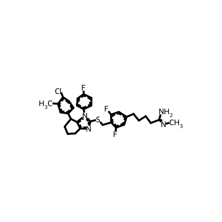 C/N=C(\N)CCCCc1cc(F)c(CSc2nc3c(n2-c2ccc(F)cc2)C(c2ccc(Cl)c(C)c2)CCC3)c(F)c1